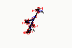 CC(=O)NC1[C@H](OCCCCCC(=O)NCCCN(CCCCN(CCCNC(=O)CCCO[C@@H]2OC(CO)[C@H](O)[C@H](O)C2NC(C)=O)C(=O)C(O)COP(C)(=O)O)C(=O)CCCCCO[C@@H]2OC(CO)[C@H](O)[C@H](O)C2NC(C)=O)OC(CO)[C@H](O)[C@@H]1O